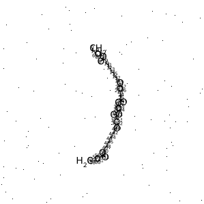 C=Cc1ccc(OC(=O)CCCCCCCCCCOc2ccc(C#CC(=O)Oc3ccc(OC(=O)C4CCC(OCCCCCCCCCCOC(=O)c5ccc(C=C)cc5)CC4)cc3)cc2)cc1